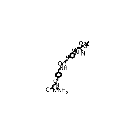 CN(CCOC(=O)NCc1ccc(COc2cc(Cl)nc(N)n2)cc1)c1ccc2nc(/C=C(\C#N)C(=O)OC(C)(C)C)oc2c1